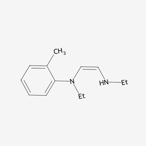 CCN/C=C\N(CC)c1ccccc1C